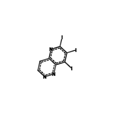 Ic1nc2ccnnc2c(I)c1I